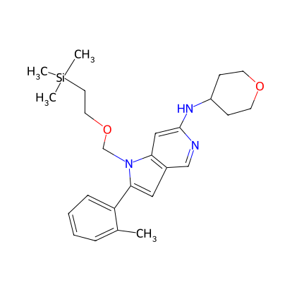 Cc1ccccc1-c1cc2cnc(NC3CCOCC3)cc2n1COCC[Si](C)(C)C